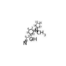 CN(c1cccc(C(O)CC#N)c1)C1CCCC1